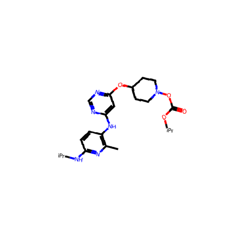 Cc1nc(NC(C)C)ccc1Nc1cc(OC2CCN(OC(=O)OC(C)C)CC2)ncn1